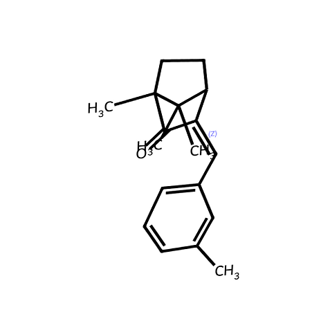 Cc1cccc(/C=C2\C(=O)C3(C)CCC2C3(C)C)c1